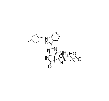 CC1CCC(Cn2nc(-c3nc(N)c4c(n3)NC(=O)C4(C)c3nc(CC(C)(C)C(=O)O)co3)c3ccccc32)CC1